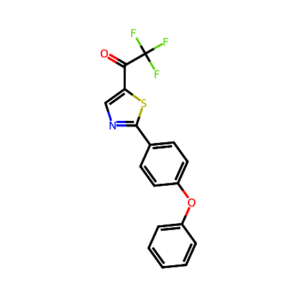 O=C(c1cnc(-c2ccc(Oc3ccccc3)cc2)s1)C(F)(F)F